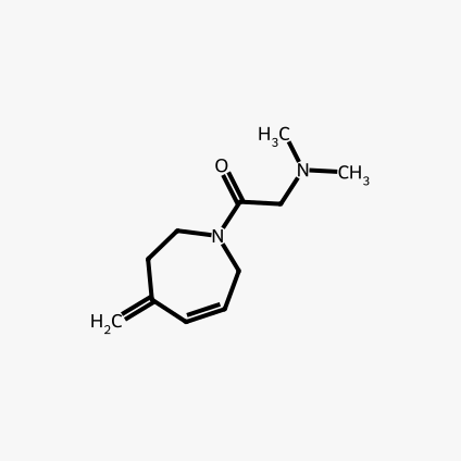 C=C1C=CCN(C(=O)CN(C)C)CC1